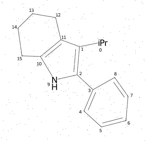 CC(C)c1c(-c2ccccc2)[nH]c2c1CCCC2